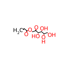 C=CC(=O)OCC(=O)[C@@H](O)[C@H](O)[C@H](O)CO